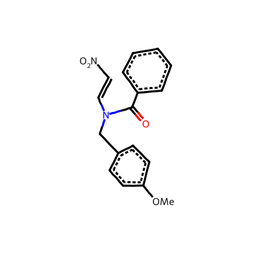 COc1ccc(CN(/C=C/[N+](=O)[O-])C(=O)c2ccccc2)cc1